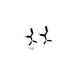 C=CC(=O)N(C)C.C=CC(=O)N(C)C.O